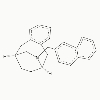 c1ccc2c(c1)C[C@@H]1CC[C@H](C2)N(Cc2ccc3ccccc3c2)C1